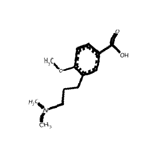 COc1ccc(C(=O)O)cc1CCCN(C)C